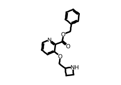 O=C(OCc1ccccc1)c1ncccc1OCC1CCN1